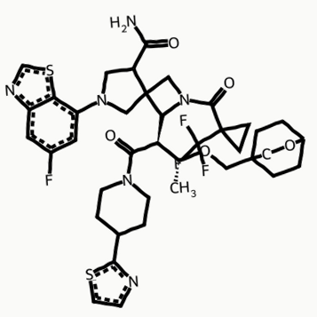 C[C@@H](OCC12CCC(CC1)OC2)[C@@H](C(=O)N1CCC(c2nccs2)CC1)C1N(C(=O)C2(C(F)(F)F)CC2)CC12CN(c1cc(F)cc3ncsc13)CC2C(N)=O